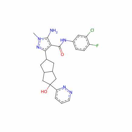 Cn1nc(C2CC3CC(O)(c4cccnn4)CC3C2)c(C(=O)Nc2ccc(F)c(Cl)c2)c1N